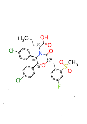 CCC[C@H](C(=O)O)N1C(=O)[C@H](Cc2ccc(F)cc2S(C)(=O)=O)O[C@@H](c2ccc(Cl)cc2)[C@H]1c1ccc(Cl)cc1